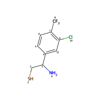 NC(CS)c1ccc(C(F)(F)F)c(Cl)c1